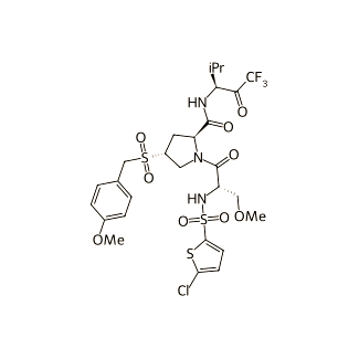 COC[C@H](NS(=O)(=O)c1ccc(Cl)s1)C(=O)N1C[C@H](S(=O)(=O)Cc2ccc(OC)cc2)C[C@H]1C(=O)N[C@H](C(=O)C(F)(F)F)C(C)C